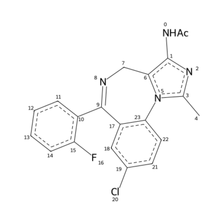 CC(=O)Nc1nc(C)n2c1CN=C(c1ccccc1F)c1cc(Cl)ccc1-2